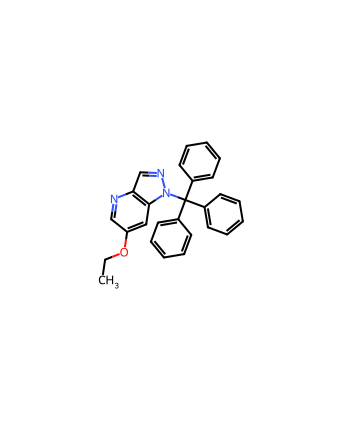 CCOc1cnc2cnn(C(c3ccccc3)(c3ccccc3)c3ccccc3)c2c1